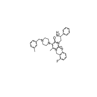 Cc1cccc(CN2CCN(c3c(C)n(Cc4c(F)cccc4F)c(=O)n(CC(N)c4ccccc4)c3=O)CC2)c1